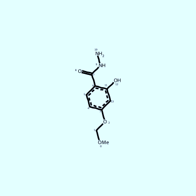 COCOc1ccc(C(=O)NN)c(O)c1